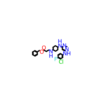 O=C(CCN[C@H]1CC[C@H](Nc2cc(Nc3ccc(F)c(Cl)c3)ncn2)CC1)OCc1ccccc1